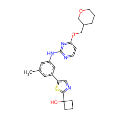 Cc1cc(Nc2nccc(OCC3CCCOC3)n2)cc(-c2cnc(C3(O)CCC3)s2)c1